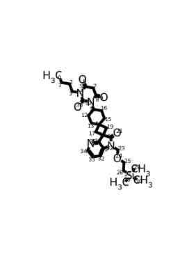 CCCCN1C(=O)CC(=O)N(C2CCC3(CC2)CC2(C3)C(=O)N(COCC[Si](C)(C)C)c3cccnc32)C1=O